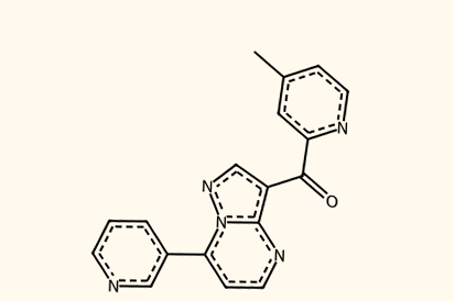 Cc1ccnc(C(=O)c2cnn3c(-c4cccnc4)ccnc23)c1